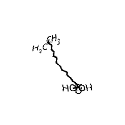 CC(C)CCCCCCCCCCCCCP(=O)(O)O